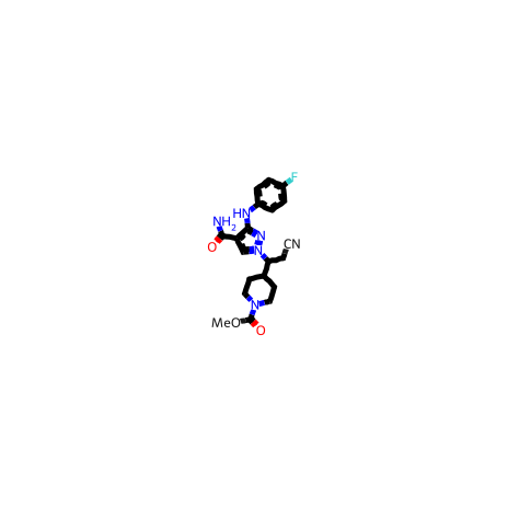 COC(=O)N1CCC(C(CC#N)n2cc(C(N)=O)c(Nc3ccc(F)cc3)n2)CC1